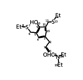 C=CCc1cc(CSCC)c(O)c(CSCC)c1.CCN(C=O)CC